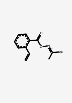 C=Cc1ccccc1C(=O)O/N=C(\C)C(C)=O